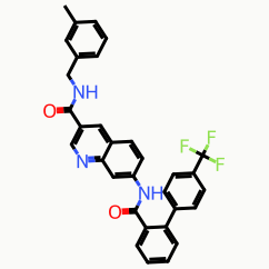 Cc1cccc(CNC(=O)c2cnc3cc(NC(=O)c4ccccc4-c4ccc(C(F)(F)F)cc4)ccc3c2)c1